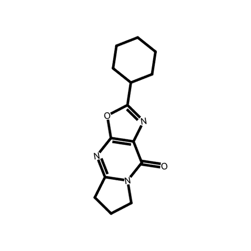 O=c1c2nc(C3CCCCC3)oc2nc2n1CCC2